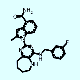 Cc1cc2c(C(N)=O)cccc2n1-c1nc2c(c(NCc3cccc(F)c3)n1)NCCCC2